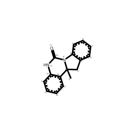 CC12Cc3ccccc3N1C(=O)Nc1ccccc12